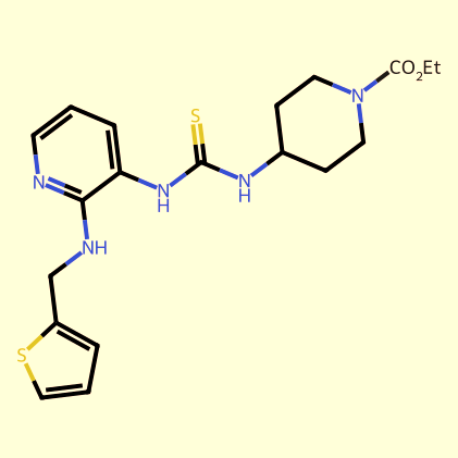 CCOC(=O)N1CCC(NC(=S)Nc2cccnc2NCc2cccs2)CC1